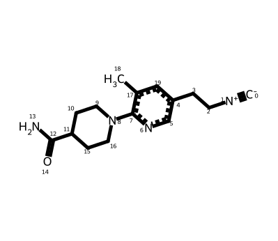 [C-]#[N+]CCc1cnc(N2CCC(C(N)=O)CC2)c(C)c1